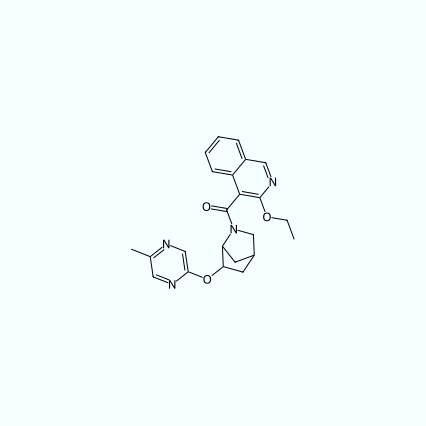 CCOc1ncc2ccccc2c1C(=O)N1CC2CC(Oc3cnc(C)cn3)C1C2